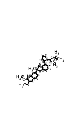 CCc1cc2ccc(C(C)(C#N)Cc3cccc(-c4cccn4C(=O)OC(C)(C)C)c3)cc2nc1OC